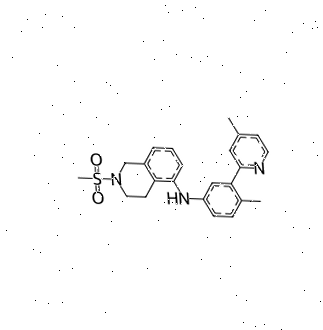 Cc1ccnc(-c2cc(Nc3cccc4c3CCN(S(C)(=O)=O)C4)ccc2C)c1